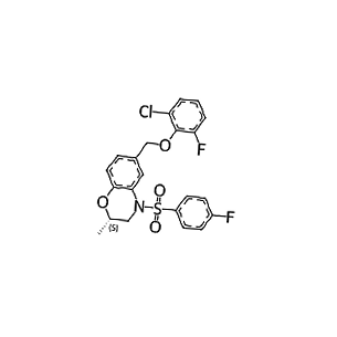 C[C@H]1CN(S(=O)(=O)c2ccc(F)cc2)c2cc(COc3c(F)cccc3Cl)ccc2O1